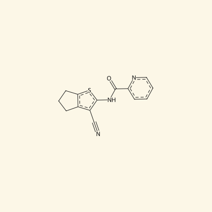 N#Cc1c(NC(=O)c2ccccn2)sc2c1CCC2